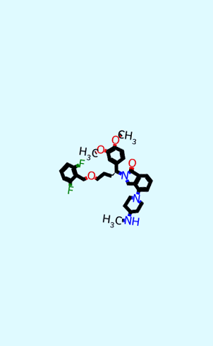 CNC1CCN(c2cccc3c2CN([C@H](CCCOCc2c(F)cccc2F)c2ccc(OC)c(OC)c2)C3=O)CC1